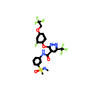 CN=S(C)(=O)c1cccc(NC(=O)c2cc(C(F)(F)F)nnc2Oc2ccc(OCC(F)(F)F)cc2F)c1